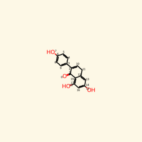 O=C1C(c2ccc(O)cc2)=CCc2cc(O)cc(O)c21